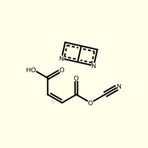 N#COC(=O)/C=C\C(=O)O.c1nc2ncc1-2